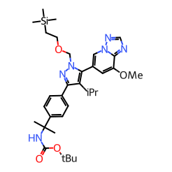 COc1cc(-c2c(C(C)C)c(-c3ccc(C(C)(C)NC(=O)OC(C)(C)C)cc3)nn2COCC[Si](C)(C)C)cn2ncnc12